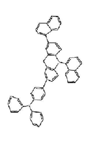 c1ccc(N(c2ccccc2)c2ccc(-c3ccc4c(c3)Cc3cc(-c5cccc6ccccc56)ccc3N4c3cccc4ccccc34)cc2)cc1